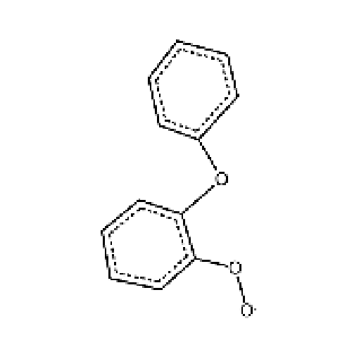 [O]Oc1ccccc1Oc1ccccc1